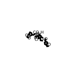 CS(=O)(=O)N1CCCC(C[C@H](NC(=O)c2c(Cl)cc3c(c2Cl)CCN(C(=O)c2ccc4ccoc4c2)C3)C(=O)O)C1